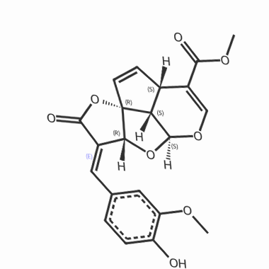 COC(=O)C1=CO[C@H]2O[C@@H]3/C(=C\c4ccc(O)c(OC)c4)C(=O)O[C@@]34C=C[C@H]1[C@H]24